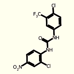 O=C(Nc1ccc(Cl)c(C(F)(F)F)c1)Nc1ccc([N+](=O)[O-])cc1Cl